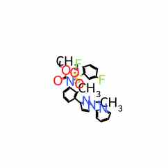 CCOC(=O)N(c1cccc(C2=N[N+](CC)(c3ccccn3)C=C2)c1C)S(=O)(=O)c1cc(F)ccc1F